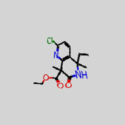 CCOC(=O)C1(C)C(=O)NC(C)(CC)c2ccc(Cl)nc21